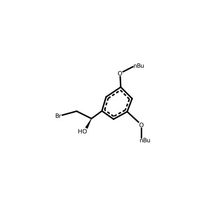 CCCCOc1cc(OCCCC)cc([C@@H](O)CBr)c1